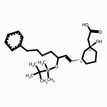 CC(C)(C)[Si](C)(C)OC(/C=C/[C@H]1CCC[C@@](O)(CC(=O)O)C1)CCCCc1ccccc1